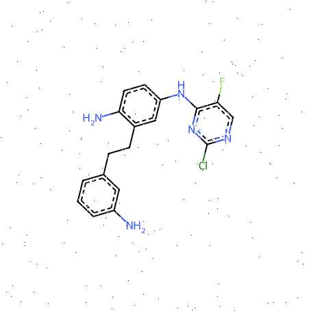 Nc1cccc(CCc2cc(Nc3nc(Cl)ncc3F)ccc2N)c1